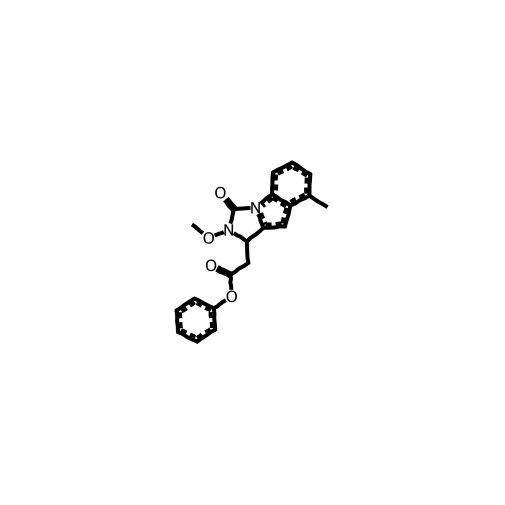 CON1C(=O)n2c(cc3c(C)cccc32)C1CC(=O)Oc1ccccc1